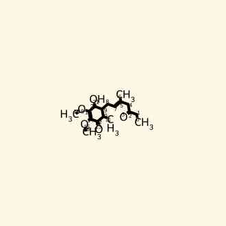 CCC(=O)C/C(C)=C/CC1C(C)C(=O)C(OC)=C(OC)C1O